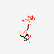 CC(CS)C(=O)OCCOP(=O)(O)O